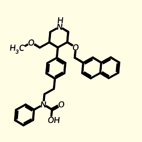 COCC1CNCC(OCc2ccc3ccccc3c2)C1c1ccc(CCN(C(=O)O)c2ccccc2)cc1